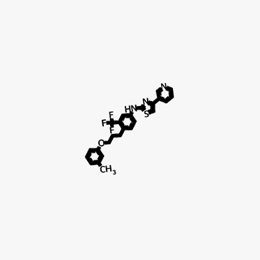 Cc1cccc(OCCCc2ccc(Nc3nc(-c4cccnc4)cs3)cc2C(F)(F)F)c1